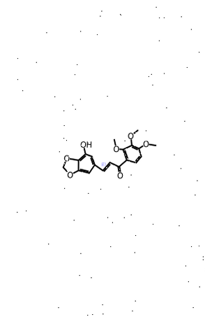 COc1ccc(C(=O)/C=C/c2cc(O)c3c(c2)OCO3)c(OC)c1OC